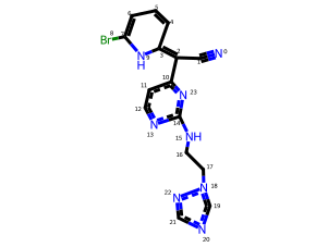 N#CC(=C1C=CC=C(Br)N1)c1ccnc(NCCn2cncn2)n1